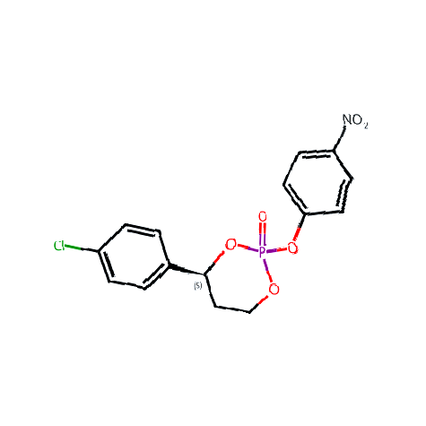 O=[N+]([O-])c1ccc(OP2(=O)OCC[C@@H](c3ccc(Cl)cc3)O2)cc1